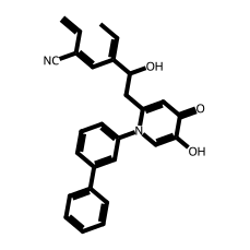 C=C/C(C#N)=C\C(=C/C)C(O)Cc1cc(=O)c(O)cn1-c1cccc(-c2ccccc2)c1